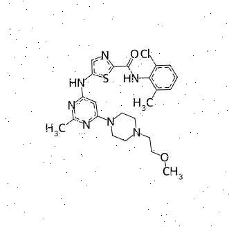 COCCN1CCN(c2cc(Nc3cnc(C(=O)Nc4c(C)cccc4Cl)s3)nc(C)n2)CC1